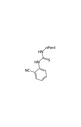 CCCCCNC(=S)Nc1ccccc1C#N